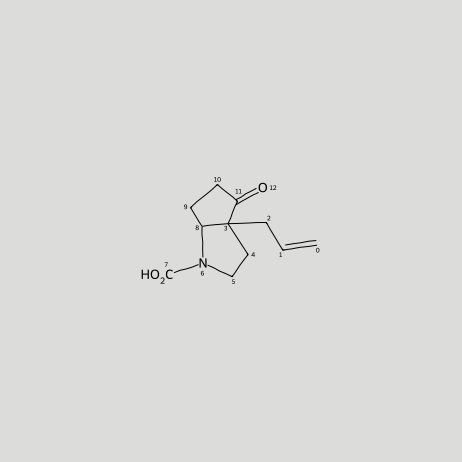 C=CCC12CCN(C(=O)O)C1CCC2=O